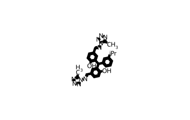 Cc1nnnn1N=Cc1ccc(O)c(C(c2cccc(C(C)C)c2)c2cc(C=Nn3nnnc3C)ccc2O)c1